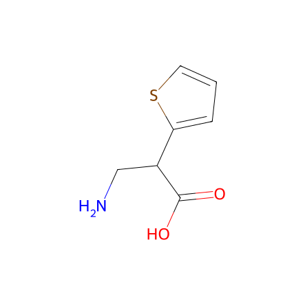 NCC(C(=O)O)c1cccs1